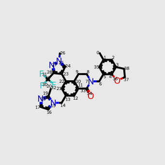 Cc1cc2c(c(CN3CCc4c(cc(Cn5ccnc5C)cc4-c4cn(C)nc4C(F)(F)F)C3=O)c1)OCC2